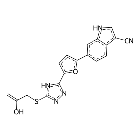 C=C(O)CSc1nnc(-c2ccc(-c3ccc4c(C#N)c[nH]c4c3)o2)[nH]1